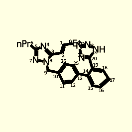 CCC=Cc1nc(CCC)nn1Cc1ccc(-c2ccccc2-c2nnn[nH]2)cc1